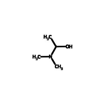 C[C](O)N(C)C